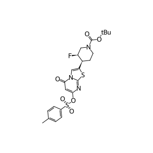 Cc1ccc(S(=O)(=O)Oc2cc(=O)n3cc([C@@H]4CCN(C(=O)OC(C)(C)C)C[C@@H]4F)sc3n2)cc1